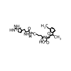 CCc1cccc2c(C)c(CC(NC(=O)CCCCCNC(=O)C(N)CC3=CCN(C(=N)N)C3)C(=O)O)oc12